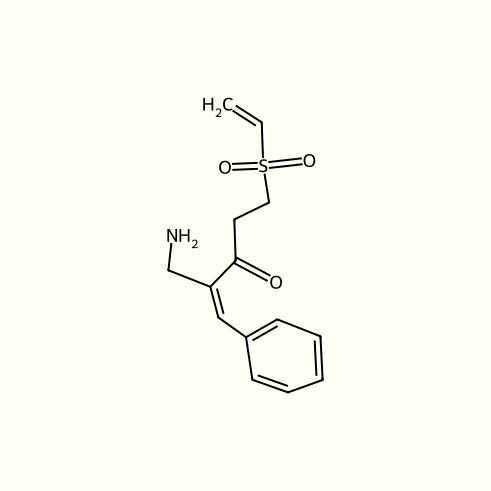 C=CS(=O)(=O)CCC(=O)C(=Cc1ccccc1)CN